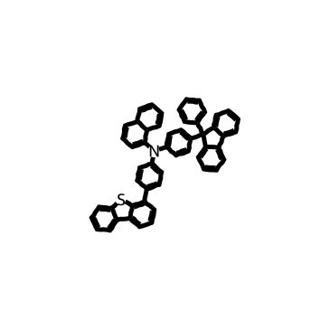 C1=CC2C=CC=C(N(c3ccc(-c4cccc5c4sc4ccccc45)cc3)c3ccc(C4(c5ccccc5)c5ccccc5-c5ccccc54)cc3)C2C=C1